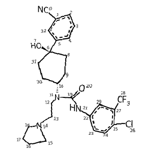 N#Cc1cccc([C@]2(O)CC[C@H](N(CCN3CCCC3)C(=O)Nc3ccc(Cl)c(C(F)(F)F)c3)CC2)c1